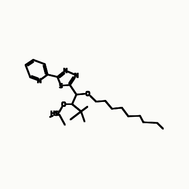 CCCCCCCCCOC(c1nnc(-c2ccccn2)s1)C(O[SiH](C)C)C(C)(C)C